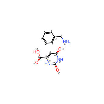 NCc1ccccc1.O=C(O)c1cc(=O)[nH]c(=O)[nH]1